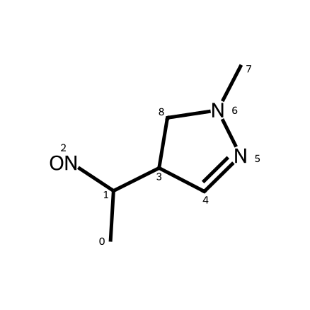 CC(N=O)C1C=NN(C)C1